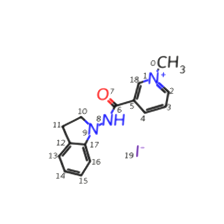 C[n+]1cccc(C(=O)NN2CCc3ccccc32)c1.[I-]